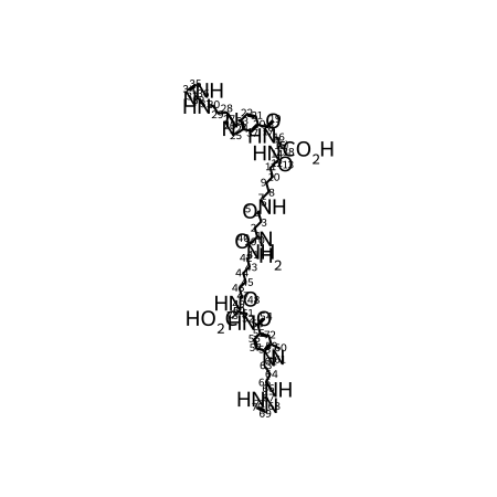 NC(CCC(=O)NCCCCCC(=O)N[C@@H](CNC(=O)c1ccc2c(cnn2CCCNc2ncc[nH]2)c1)C(=O)O)C(=O)NCCCCCC(=O)N[C@@H](CNC(=O)c1ccc2c(cnn2CCCNc2ncc[nH]2)c1)C(=O)O